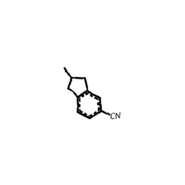 CC1Cc2ccc(C#N)cc2C1